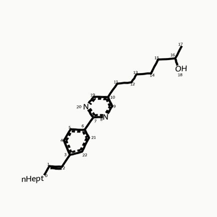 CCCCCCCC=Cc1ccc(-c2ncc(CCCCCC(C)O)cn2)cc1